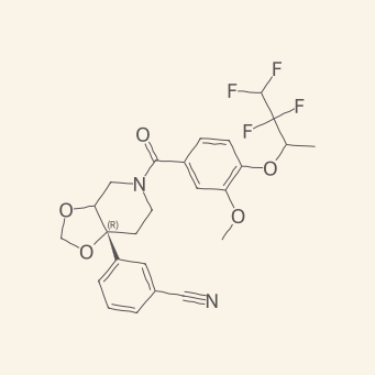 COc1cc(C(=O)N2CC[C@]3(c4cccc(C#N)c4)OCOC3C2)ccc1OC(C)C(F)(F)C(F)F